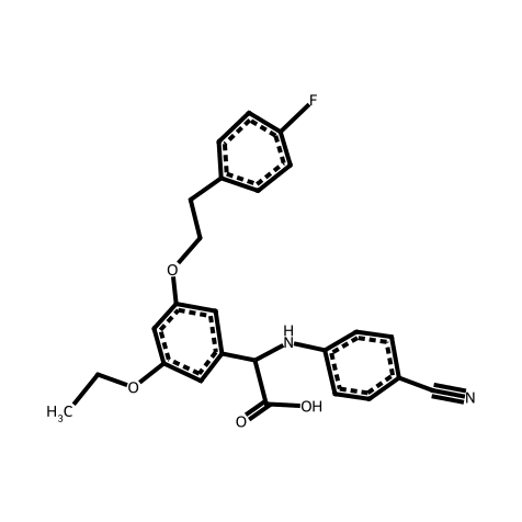 CCOc1cc(OCCc2ccc(F)cc2)cc(C(Nc2ccc(C#N)cc2)C(=O)O)c1